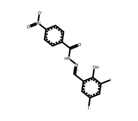 O=C(N/N=C/c1cc(I)cc(I)c1O)c1ccc([N+](=O)[O-])cc1